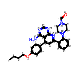 CCCCOc1ccc(-c2cc(-c3ccccc3N3CCN(C=O)CC3)nc3ncnc(N)c23)cc1